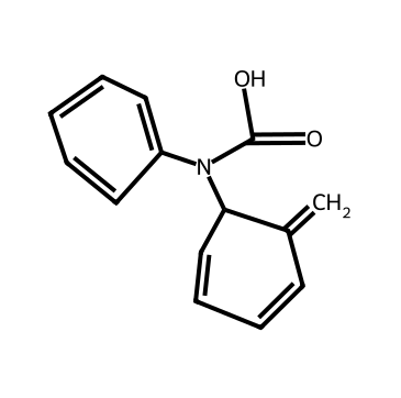 C=C1C=CC=CC1N(C(=O)O)c1ccccc1